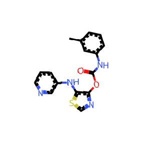 Cc1cccc(NC(=O)Oc2ncsc2Nc2cccnc2)c1